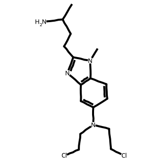 CC(N)CCc1nc2cc(N(CCCl)CCCl)ccc2n1C